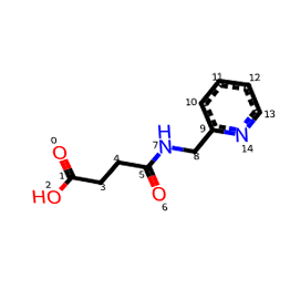 O=C(O)CCC(=O)NCc1ccccn1